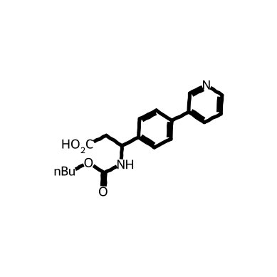 CCCCOC(=O)NC(CC(=O)O)c1ccc(-c2cccnc2)cc1